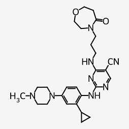 CN1CCN(c2ccc(Nc3ncc(C#N)c(NCCCN4CCOCCC4=O)n3)c(C3CC3)c2)CC1